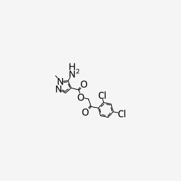 Cn1ncc(C(=O)OCC(=O)c2ccc(Cl)cc2Cl)c1N